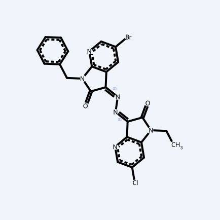 CCN1C(=O)/C(=N\N=C2/C(=O)N(Cc3ccccc3)c3ncc(Br)cc32)c2ncc(Cl)cc21